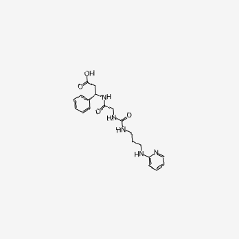 O=C(O)CC(NC(=O)CNC(=O)NCCCNc1ccccn1)c1ccccc1